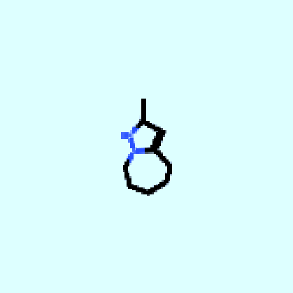 CC1C=C2CCCCCN2N1